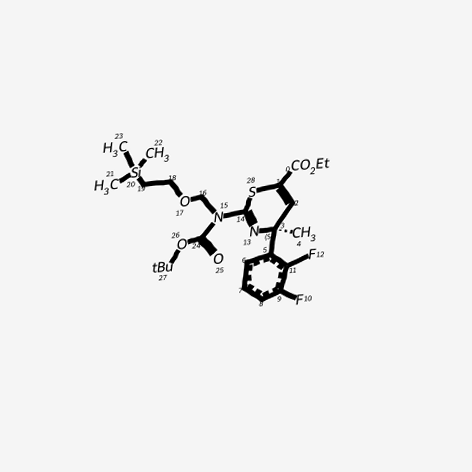 CCOC(=O)C1=C[C@@](C)(c2cccc(F)c2F)N=C(N(COCC[Si](C)(C)C)C(=O)OC(C)(C)C)S1